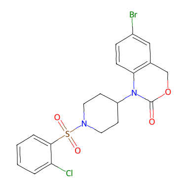 O=C1OCc2cc(Br)ccc2N1C1CCN(S(=O)(=O)c2ccccc2Cl)CC1